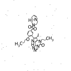 CCCOc1ccc(S(=O)(=O)N2CCN3C=CC[C@@H]3C2)cc1-c1[nH]c2c(c1I)n(CCC)c(=O)n1cnnc21